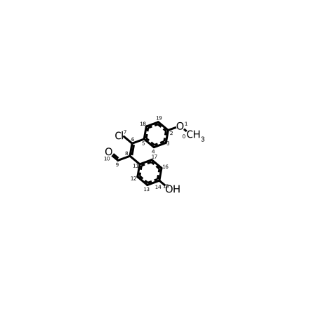 COc1ccc(/C(Cl)=C(/C=O)c2ccc(O)cc2)cc1